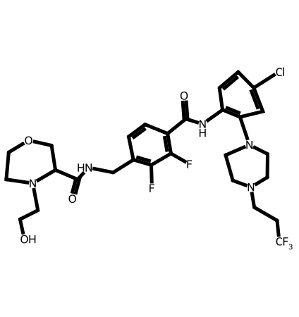 O=C(Nc1ccc(Cl)cc1N1CCN(CCC(F)(F)F)CC1)c1ccc(CNC(=O)C2COCCN2CCO)c(F)c1F